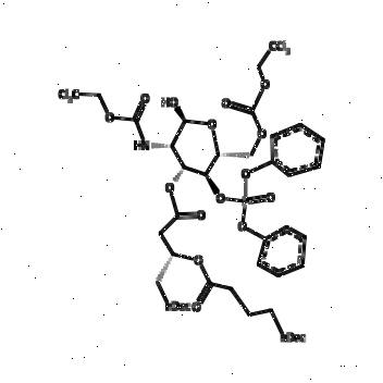 CCCCCCCCCCCCCC(=O)O[C@H](CCCCCCCCCCC)CC(=O)O[C@@H]1[C@H](NC(=O)OCC(Cl)(Cl)Cl)[C@@H](O)O[C@H](COC(=O)OCC(Cl)(Cl)Cl)[C@H]1OP(=O)(Oc1ccccc1)Oc1ccccc1